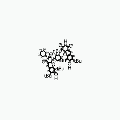 CC(C)(C)c1cc(C=C2C(=O)N(C3CCCCC3)C(=O)N(C3CCCCC3)C2=O)cc(C(C)(C)C)c1O.CCCCN1C(=O)NC(=O)C(=Cc2cc(C(C)(C)C)c(O)c(C(C)(C)C)c2)C1=O